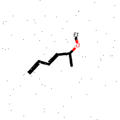 C=CC=CC(C)OCC